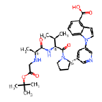 CC(C)[C@H](NC(=O)[C@H](C)NCC(=O)OC(C)(C)C)C(=O)N1CCC[C@H]1c1cncc(-n2ccc3c(C(=O)O)cccc32)c1